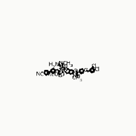 COC(=O)C(Cc1ccc(-c2ccc(C#N)cc2)cc1)NC(=O)[C@@H]1Cc2cc3c(cc2CN1S(=O)(=O)c1sc(N)nc1C)O[C@@H](c1ccc(OCc2ccc(Cl)c(Cl)c2)cc1)C(=O)N3C